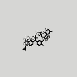 Cc1cnc2c(c1)S(=O)(=O)N(Cc1cc(C(c3ccn4c(C5CC5)nnc4c3C)C(C)(C)C(=O)O)ccc1C)CC1(COC1)O2